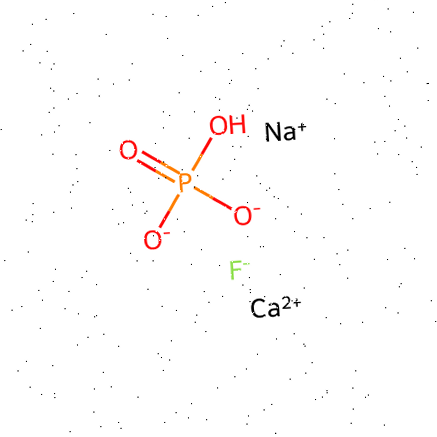 O=P([O-])([O-])O.[Ca+2].[F-].[Na+]